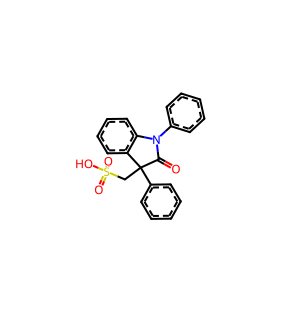 O=C1N(c2ccccc2)c2ccccc2C1(CS(=O)(=O)O)c1ccccc1